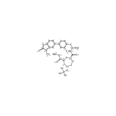 [2H]C([2H])([2H])O[C@H]1CO[C@H](C(=O)N[C@H](C#N)Cc2ccc(-c3ccc4oc(=O)n(C)c4c3)cc2F)CN(C(=O)OC(C)(C)C)C1